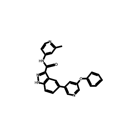 Cc1cc(NC(=O)c2n[nH]c3ccc(-c4cncc(Oc5ccccc5)c4)cc23)ccn1